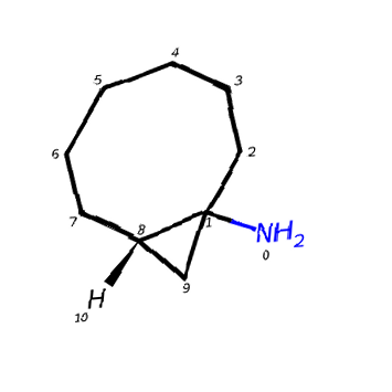 NC12CCCCCC[C@H]1C2